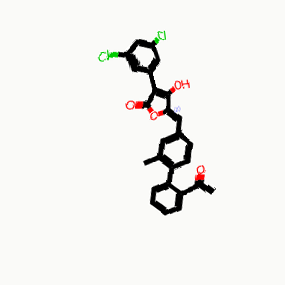 CC(=O)c1ccccc1-c1ccc(/C=C2\OC(=O)C(c3cc(Cl)cc(Cl)c3)=C2O)cc1C